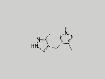 Cc1n[nH]cc1Cc1c[nH]nc1C